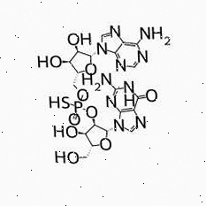 Nc1nc2c(ncn2[C@@H]2O[C@H](CO)[C@@H](O)[C@H]2OP(=O)(S)OC[C@H]2O[C@@H](n3cnc4c(N)ncnc43)[C@H](O)[C@@H]2O)c(=O)[nH]1